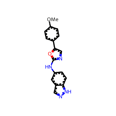 COc1ccc(-c2cnc(Nc3ccc4[nH]ncc4c3)o2)cc1